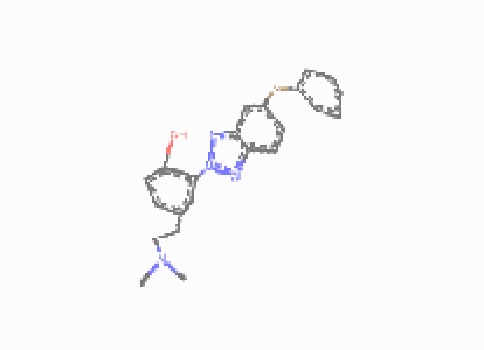 CN(C)CCc1ccc(O)c(-n2nc3ccc(Sc4ccccc4)cc3n2)c1